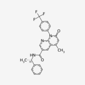 Cc1cc(=O)n(-c2ccc(C(F)(F)F)cc2)c2ncc(C(=O)N[C@@H](C)c3ccccc3)cc12